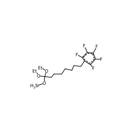 CCOC(CCCCCCCc1c(F)c(F)c(F)c(F)c1F)(O[SiH3])OCC